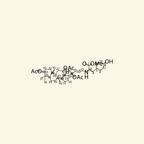 COC(=O)[C@@H](Cc1ccc(O)cc1)NCCC[C@](C)(OC(C)=O)C1CC[C@]2(C)[C@@H]1C(OC(C)=O)CC1[C@@]3(C)CC[C@H](OC(C)=O)C(C)(C)C3CC[C@]12C